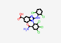 NC(=O)c1cc(Cl)c(Cl)c(Cl)c1-n1c(Nc2c(Cl)cccc2Cl)nc2cc(C(=O)O)ccc21